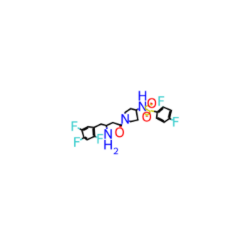 NC(CC(=O)N1CCC(NS(=O)(=O)c2ccc(F)cc2F)CC1)Cc1cc(F)c(F)cc1F